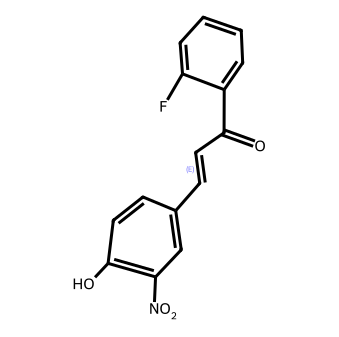 O=C(/C=C/c1ccc(O)c([N+](=O)[O-])c1)c1ccccc1F